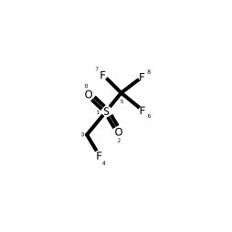 O=S(=O)(CF)C(F)(F)F